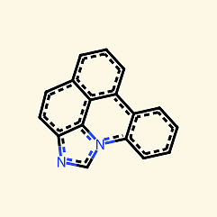 c1cc2ccc3ncn4c5ccccc5c(c1)c2c34